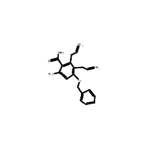 C=CCc1c(OCc2ccccc2)cc(C)c(C(=O)OC)c1CC=C